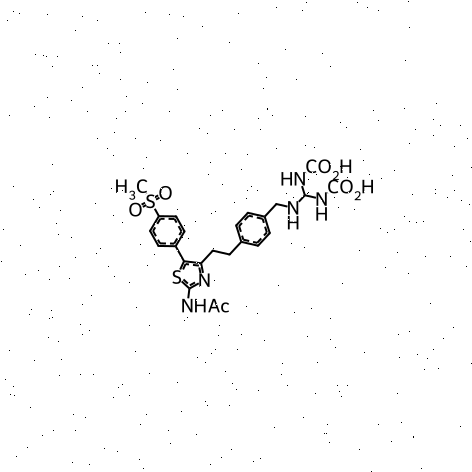 CC(=O)Nc1nc(CCc2ccc(CNC(NC(=O)O)NC(=O)O)cc2)c(-c2ccc(S(C)(=O)=O)cc2)s1